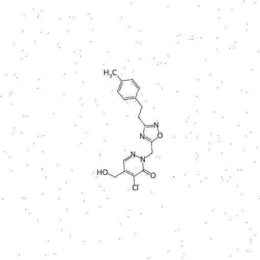 Cc1ccc(CCc2noc(Cn3ncc(CO)c(Cl)c3=O)n2)cc1